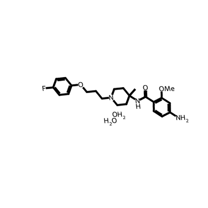 COc1cc(N)ccc1C(=O)NC1(C)CCN(CCCOc2ccc(F)cc2)CC1.O.O